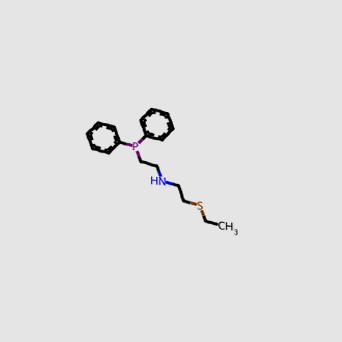 CCSCCNCCP(c1ccccc1)c1ccccc1